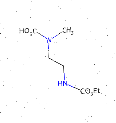 CCOC(=O)NCCN(C)C(=O)O